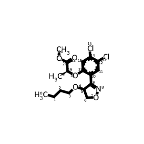 CCCCOC1CON=C1c1cc(Cl)c(Cl)cc1O[C@@H](C)C(=O)OC